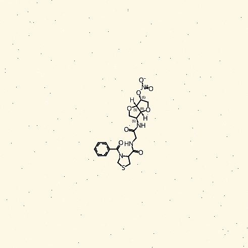 O=C(CNC(=O)C1CSCN1C(=O)c1ccccc1)N[C@H]1CO[C@H]2[C@@H]1OC[C@@H]2O[N+](=O)[O-]